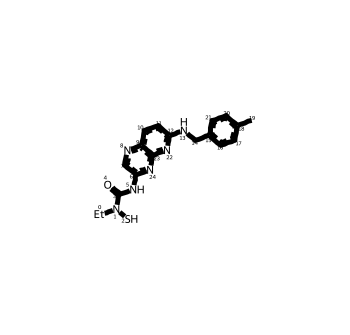 CCN(S)C(=O)Nc1cnc2ccc(NCc3ccc(C)cc3)nc2n1